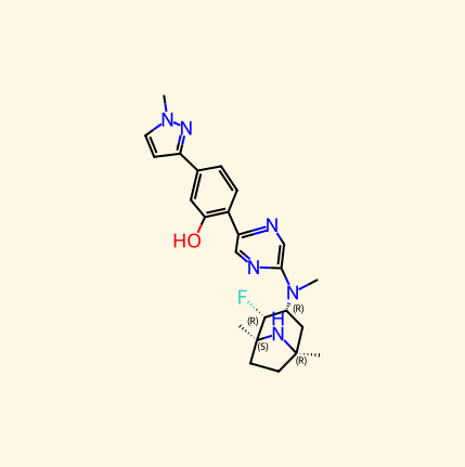 CN(c1cnc(-c2ccc(-c3ccn(C)n3)cc2O)cn1)[C@@H]1C[C@@]2(C)CC[C@](C)(N2)[C@@H]1F